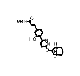 CNC(=O)/C=C/c1ccc(-c2ccc(OC3C[C@H]4CCC[C@@H](C3)N4)nn2)c(O)c1